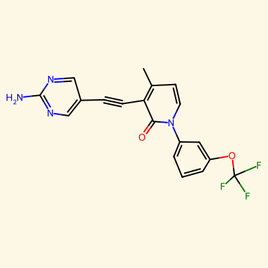 Cc1ccn(-c2cccc(OC(F)(F)F)c2)c(=O)c1C#Cc1cnc(N)nc1